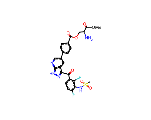 COC(=O)[C@@H](N)COC(=O)c1ccc(-c2cnc3[nH]nc(C(=O)c4ccc(F)c(NS(C)(=O)=O)c4F)c3c2)cc1